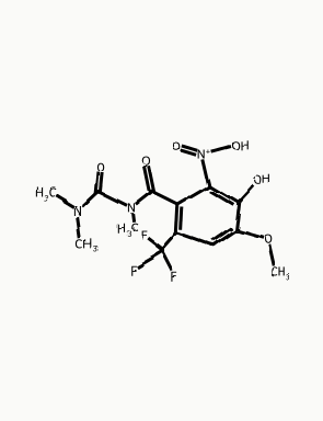 COc1cc(C(F)(F)F)c(C(=O)N(C)C(=O)N(C)C)c([N+](=O)O)c1O